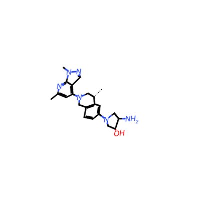 Cc1cc(N2Cc3ccc(N4CC(N)C(O)C4)cc3[C@@H](C)C2)c2cnn(C)c2n1